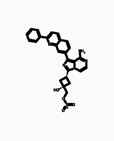 Nc1nccn2c1c(-c1ccc3ccc(-c4ccccc4)nc3c1)nc2[C@H]1C[C@](O)(CO[SH](=O)=O)C1